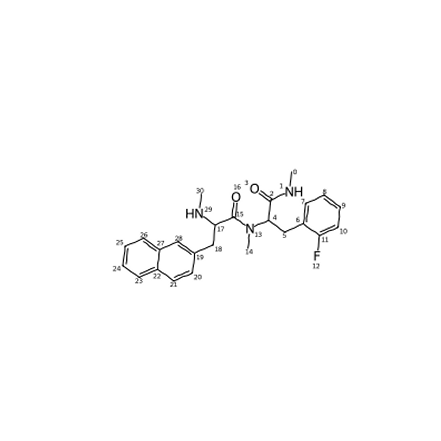 CNC(=O)C(Cc1ccccc1F)N(C)C(=O)C(Cc1ccc2ccccc2c1)NC